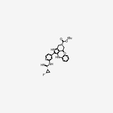 CC(C)(C)OC(=O)N1CC(=O)c2c([nH]c(-c3ccnc(NC(=N)[C@@H]4C[C@@H]4F)c3)c2Nc2ccccc2)C1